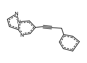 C(#Cc1cnc2ccnn2c1)Cc1ccccc1